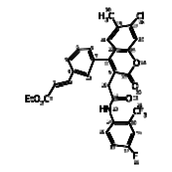 CCOC(=O)C=Cc1cccc(-c2c(CC(=O)Nc3ccc(F)cc3C(F)(F)F)c(=O)oc3cc(Cl)c(C)cc23)c1